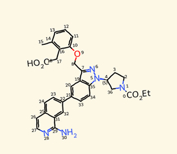 CCOC(=O)N1CC[C@H](n2nc(COc3cccc(C)c3CC(=O)O)c3cc(-c4ccc5ccnc(N)c5c4)ccc32)C1